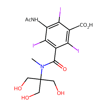 CC(=O)Nc1c(I)c(C(=O)O)c(I)c(C(=O)N(C)C(CO)(CO)CO)c1I